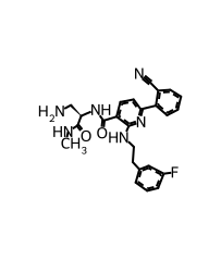 CNC(=O)[C@@H](CN)NC(=O)c1ccc(-c2ccccc2C#N)nc1NCCc1cccc(F)c1